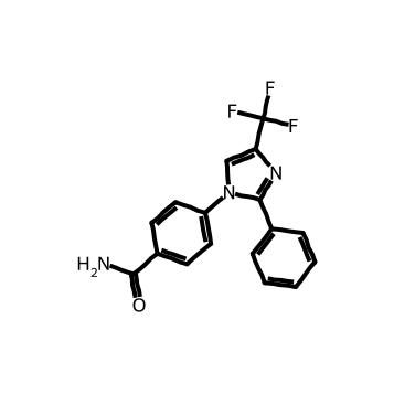 NC(=O)c1ccc(-n2cc(C(F)(F)F)nc2-c2ccccc2)cc1